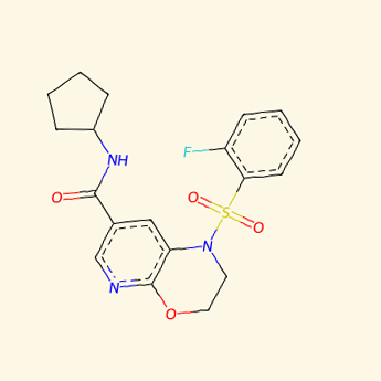 O=C(NC1CCCC1)c1cnc2c(c1)N(S(=O)(=O)c1ccccc1F)CCO2